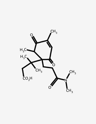 CC1=CC(=O)C(CCC(=O)N(C)C)(C(C)(C)CC(=O)O)C(C)C1=O